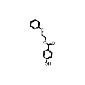 O=C(OCCOc1ccccc1)c1ccc(O)cc1